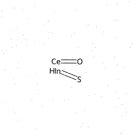 [O]=[Ce].[S]=[InH]